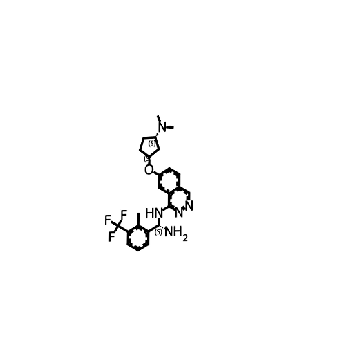 Cc1c([C@@H](N)Nc2nncc3ccc(O[C@H]4CC[C@H](N(C)C)C4)cc23)cccc1C(F)(F)F